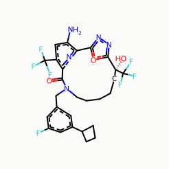 Nc1cc(C(F)(F)F)c2nc1-c1nnc(o1)[C@@](O)(C(F)(F)F)CCCCCN(Cc1cc(F)cc(C3CCC3)c1)C2=O